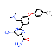 CN(C)Cc1cc(Oc2ccc(C(F)(F)F)cc2)ccc1-c1nc(N)cc(C(N)=O)n1